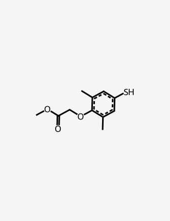 COC(=O)COc1c(C)cc(S)cc1C